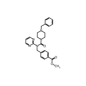 COC(=O)c1ccc(CN(C(=O)N2CCN(Cc3ccccc3)CC2)c2ncccn2)cc1